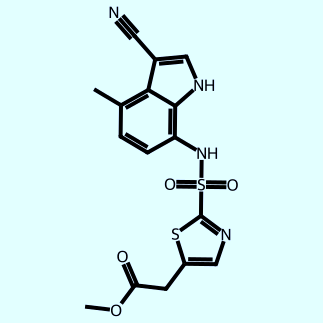 COC(=O)Cc1cnc(S(=O)(=O)Nc2ccc(C)c3c(C#N)c[nH]c23)s1